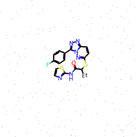 CCC(Sc1ccc2nnc(-c3ccc(F)cc3)n2n1)C(=O)Nc1nccs1